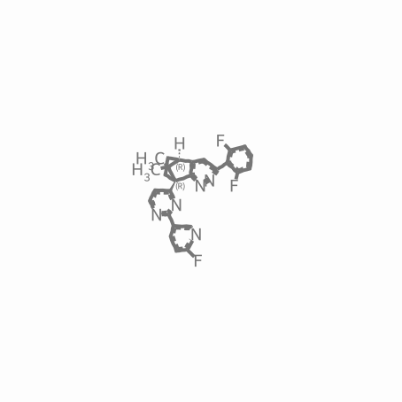 CC1(C)[C@H]2CC[C@@]1(c1ccnc(-c3ccc(F)nc3)n1)c1nnc(-c3c(F)cccc3F)cc12